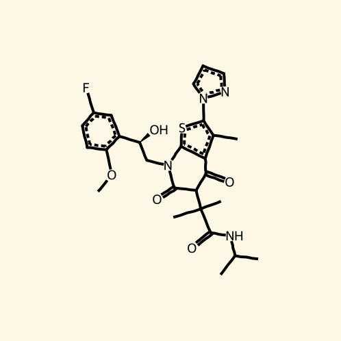 COc1ccc(F)cc1[C@@H](O)CN1C(=O)C(C(C)(C)C(=O)NC(C)C)C(=O)c2c1sc(-n1cccn1)c2C